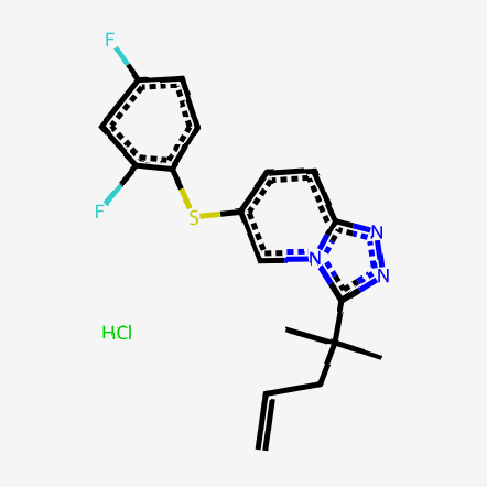 C=CCC(C)(C)c1nnc2ccc(Sc3ccc(F)cc3F)cn12.Cl